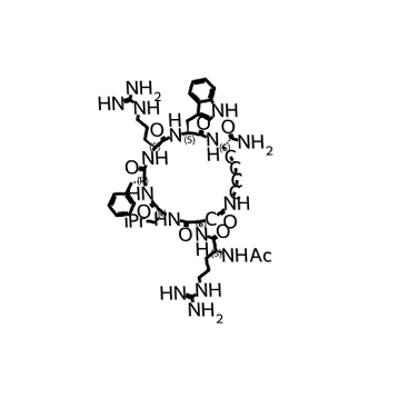 CC(=O)N[C@@H](CCCNC(=N)N)C(=O)N[C@H]1CC(=O)NCCCC[C@@H](C(N)=O)NC(=O)[C@H](Cc2c[nH]c3ccccc23)NC(=O)[C@H](CCCNC(=N)N)NC(=O)[C@@H](Cc2ccccc2)NC(=O)[C@@H](CC(C)C)NC1=O